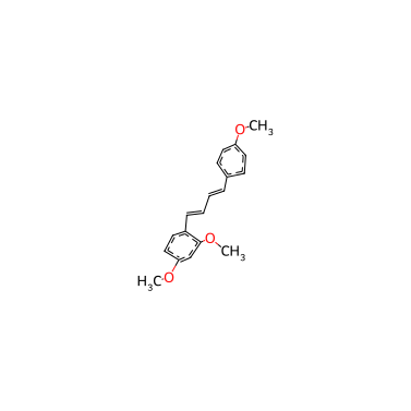 COc1ccc(C=CC=Cc2ccc(OC)cc2OC)cc1